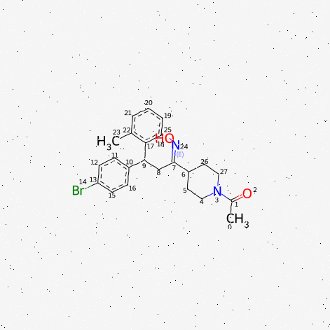 CC(=O)N1CCC(/C(CC(c2ccc(Br)cc2)c2ccccc2C)=N/O)CC1